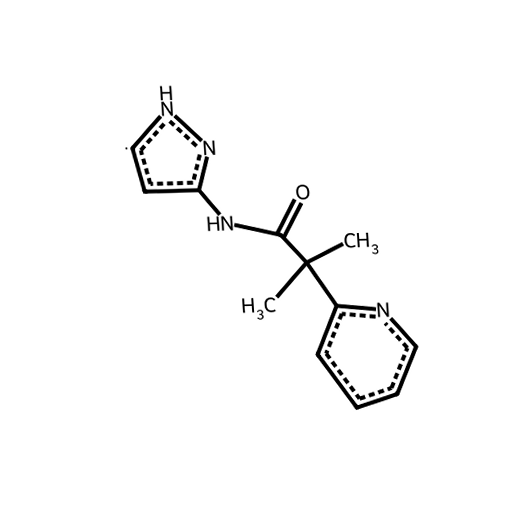 CC(C)(C(=O)Nc1c[c][nH]n1)c1ccccn1